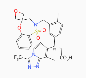 Cc1ccc([C@H](CC(=O)O)c2ccn3c(C(F)(F)F)nnc3c2C)cc1CN1CC2(COC2)Oc2ccccc2S1(=O)=O